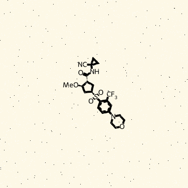 CO[C@@H]1C[C@H](S(=O)(=O)c2ccc(N3CCOCC3)cc2C(F)(F)F)C[C@H]1C(=O)NC1(C#N)CC1